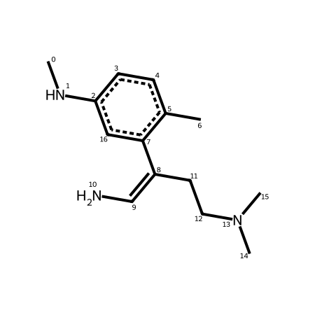 CNc1ccc(C)c(/C(=C\N)CCN(C)C)c1